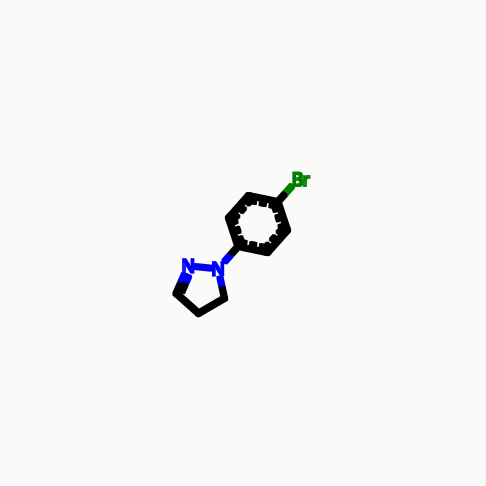 Brc1ccc(N2CCC=N2)cc1